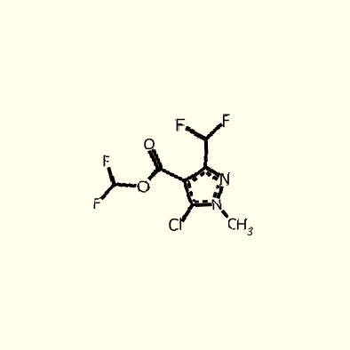 Cn1nc(C(F)F)c(C(=O)OC(F)F)c1Cl